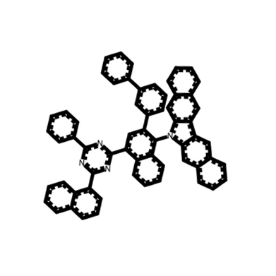 c1ccc(-c2cccc(-c3cc(-c4nc(-c5ccccc5)nc(-c5cccc6ccccc56)n4)c4ccccc4c3-n3c4cc5ccccc5cc4c4cc5ccccc5cc43)c2)cc1